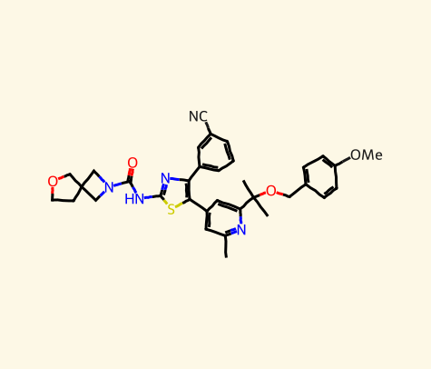 COc1ccc(COC(C)(C)c2cc(-c3sc(NC(=O)N4CC5(CCOC5)C4)nc3-c3cccc(C#N)c3)cc(C)n2)cc1